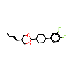 CCC=CC1COC(C2CCC(c3ccc(F)c(F)c3)CC2)OC1